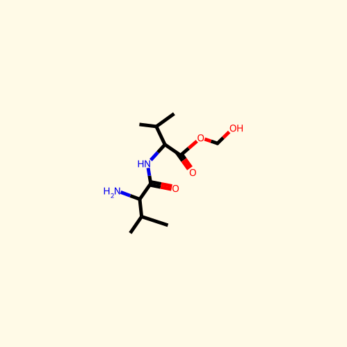 CC(C)C(N)C(=O)NC(C(=O)OCO)C(C)C